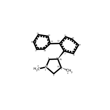 C[C@@H]1CN(C)C[C@H]1c1ccccc1-c1ccccc1